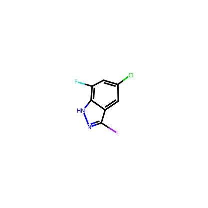 Fc1cc(Cl)cc2c(I)n[nH]c12